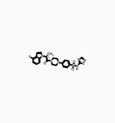 C[C@@H](C(=O)N1CCN(c2ccc(S(=O)(=O)Nc3ncns3)cc2)CC1)n1ccc2c(F)cccc21